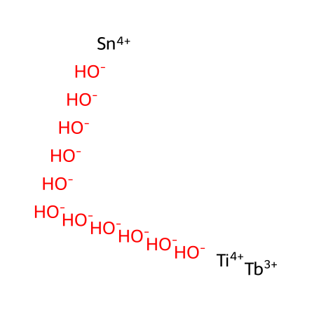 [OH-].[OH-].[OH-].[OH-].[OH-].[OH-].[OH-].[OH-].[OH-].[OH-].[OH-].[Sn+4].[Tb+3].[Ti+4]